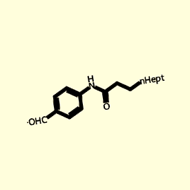 CCCCCCCCCC(=O)Nc1ccc([C]=O)cc1